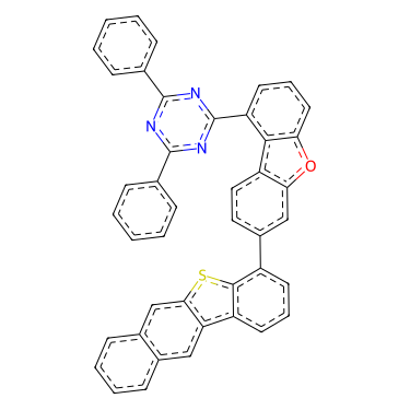 c1ccc(-c2nc(-c3ccccc3)nc(-c3cccc4oc5cc(-c6cccc7c6sc6cc8ccccc8cc67)ccc5c34)n2)cc1